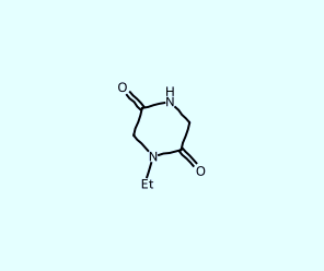 CCN1CC(=O)NCC1=O